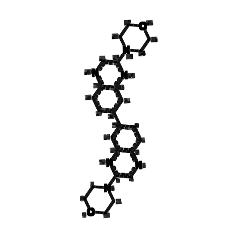 c1cc2ncc(N3CCOCC3)nc2cc1-c1ccc2ncc(N3CCOCC3)nc2c1